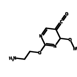 CCCOC1N=C(OCCN)N=CC1=C=O